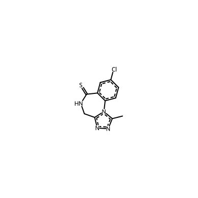 Cc1nnc2n1-c1ccc(Cl)cc1C(=S)NC2